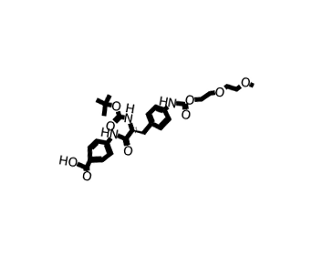 COCCOCCOC(=O)Nc1ccc(C[C@H](NC(=O)OC(C)(C)C)C(=O)Nc2ccc(C(=O)O)cc2)cc1